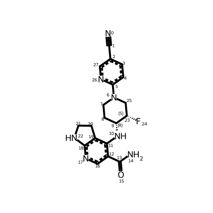 N#Cc1ccc(N2CC[C@@H](Nc3c(C(N)=O)cnc4c3CCN4)[C@@H](F)C2)nc1